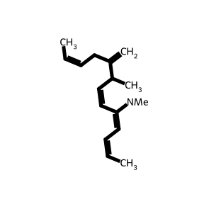 C=C(C/C=C\C)C(C)\C=C/C(=C\C=C/C)NC